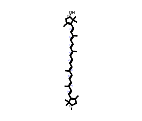 CC1=C(/C=C/C(C)=C/C=C/C(C)=C/C=C/C=C(C)/C=C/C=C(C)/C=C/C2=C(C)C[C@@H](O)C2(C)C)C(C)(C)[C@H](C)C1